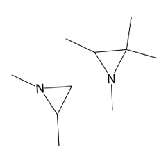 CC1CN1C.CC1N(C)C1(C)C